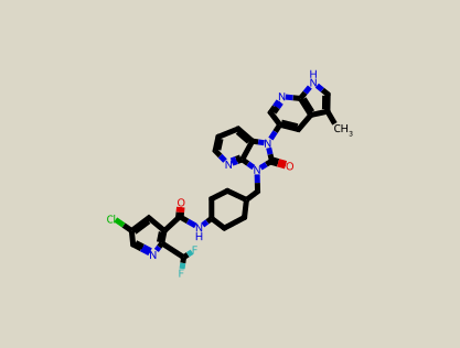 Cc1c[nH]c2ncc(-n3c(=O)n(CC4CCC(NC(=O)c5cc(Cl)cnc5C(F)F)CC4)c4ncccc43)cc12